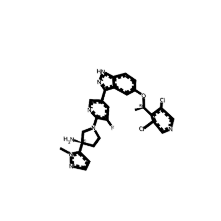 C[C@@H](Oc1ccc2[nH]nc(-c3cnc(N4CC[C@](N)(c5ccnn5C)C4)c(F)c3)c2c1)c1c(Cl)cncc1Cl